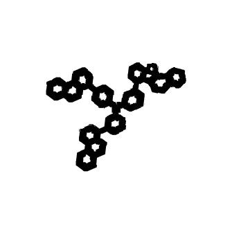 c1cc(-c2cccc3c2ccc2ccccc23)cc(N(c2ccc(-c3cccc4c3ccc3ccccc34)cc2)c2cccc(-c3cccc4oc5c6ccccc6ccc5c34)c2)c1